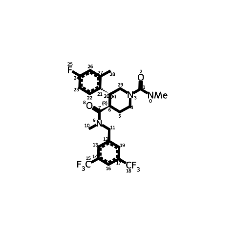 CNC(=O)N1CC[C@@H](C(=O)N(C)Cc2cc(C(F)(F)F)cc(C(F)(F)F)c2)[C@H](c2ccc(F)cc2C)C1